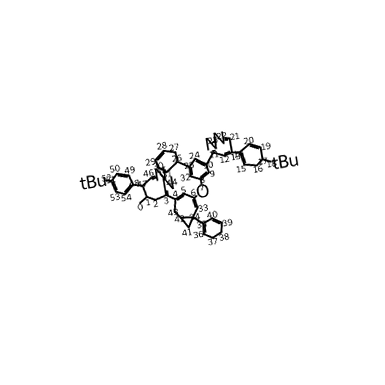 CC1CC(C2=CC(Oc3cc(-c4cc(C5=CCC(C(C)(C)C)C=C5)cnn4)cc(C4CC=CCC4)c3)=CC3(C4=CCCC=C4)CC3C2)=NN=CC1c1ccc(C(C)(C)C)cc1